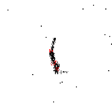 C=CCCCCCCCOc1ccc(-c2ccc(C(=O)Oc3ccc(OC(C)CCCCCC)cc3)cc2)cc1